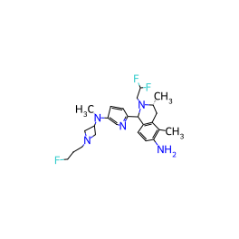 Cc1c(N)ccc2c1C[C@@H](C)N(CC(F)F)C2c1ccc(N(C)C2CN(CCCF)C2)cn1